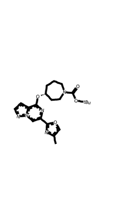 Cc1coc(-c2cn3nccc3c(O[C@@H]3CCCN(C(=O)OC(C)(C)C)CC3)n2)n1